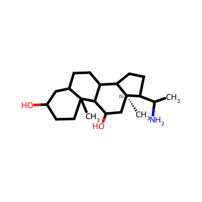 CC(N)C1CCC2C3CCC4CC(O)CCC4(C)C3C(O)C[C@]12C